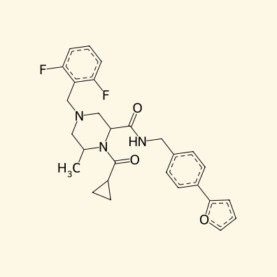 CC1CN(Cc2c(F)cccc2F)CC(C(=O)NCc2ccc(-c3ccco3)cc2)N1C(=O)C1CC1